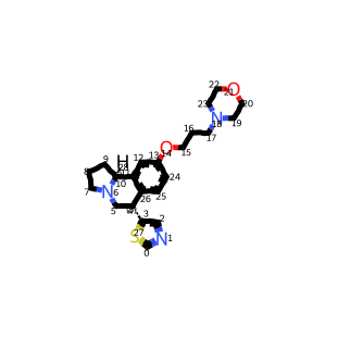 c1ncc([C@@H]2CN3CCC[C@H]3c3cc(OCCCN4CCOCC4)ccc32)s1